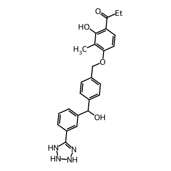 CCC(=O)c1ccc(OCc2ccc(C(O)c3cccc(C4=NNNN4)c3)cc2)c(C)c1O